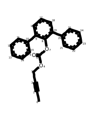 CC#CCOC(=O)Oc1c(-c2ccccc2)cccc1-c1ccccc1